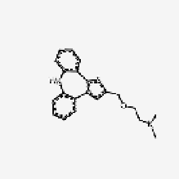 CN(C)CCOCc1cc2c(s1)-c1ccccc1Nc1ccccc1-2